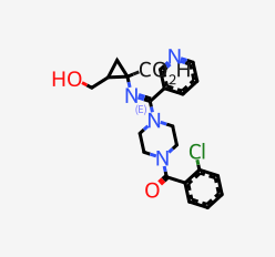 O=C(c1ccccc1Cl)N1CCN(/C(=N/C2(C(=O)O)CC2CO)c2cccnc2)CC1